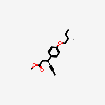 CC#C[C@@H](CC(=O)OC)c1ccc(OC[C@@H](C)CC)cc1